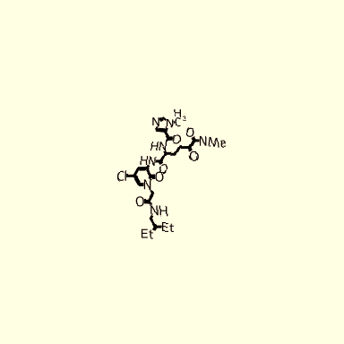 CCC(CC)CNC(=O)Cn1cc(Cl)cc(NC(=O)C(CCC(=O)C(=O)NC)NC(=O)c2cncn2C)c1=O